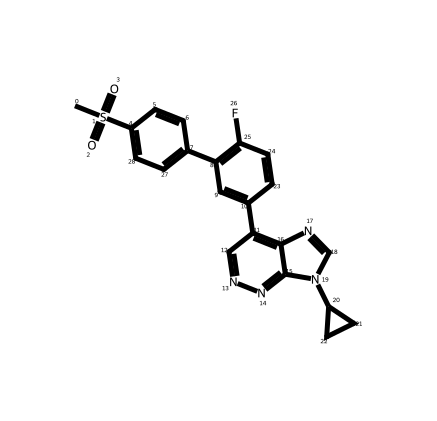 CS(=O)(=O)c1ccc(-c2cc(-c3cnnc4c3ncn4C3CC3)ccc2F)cc1